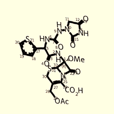 CO[C@]1(NC(=O)C(NC(=O)NN2CC(=O)NC2=O)c2cccs2)C(=O)N2C(C(=O)O)=C(COC(C)=O)CSC21